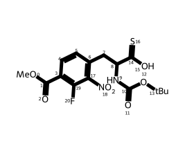 COC(=O)c1ccc(CC(NC(=O)OC(C)(C)C)C(O)=S)c([N+](=O)[O-])c1F